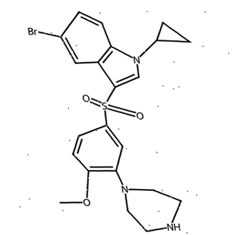 COc1ccc(S(=O)(=O)c2cn(C3CC3)c3ccc(Br)cc23)cc1N1CCNCC1